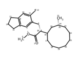 COC(=O)[C@H](Cc1cc2c(cc1F)CCC2)C1CCCCCCC[C@@H](C)C1